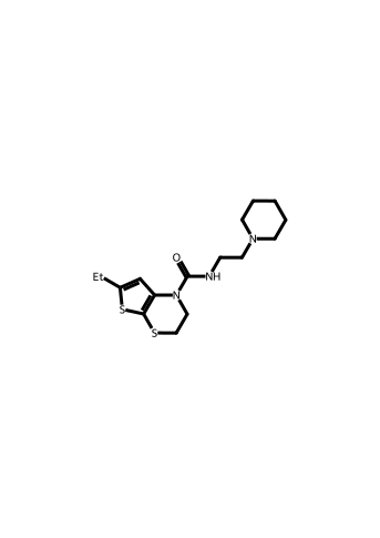 CCc1cc2c(s1)SCCN2C(=O)NCCN1CCCCC1